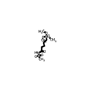 CO[Si](CCCCC(=O)NS(C)(=O)=O)(OC)OC